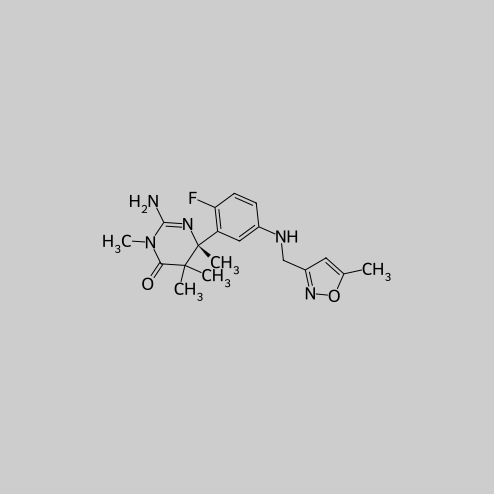 Cc1cc(CNc2ccc(F)c([C@@]3(C)N=C(N)N(C)C(=O)C3(C)C)c2)no1